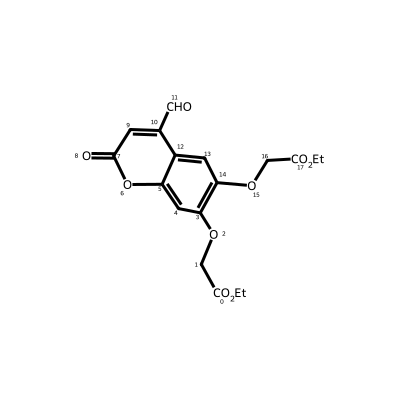 CCOC(=O)COc1cc2oc(=O)cc(C=O)c2cc1OCC(=O)OCC